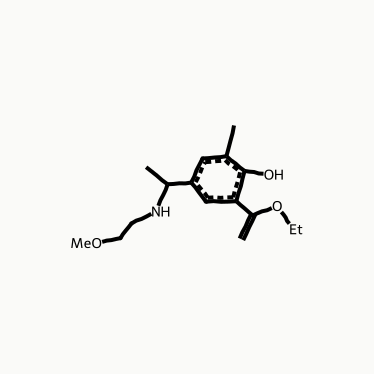 C=C(OCC)c1cc(C(C)NCCOC)cc(C)c1O